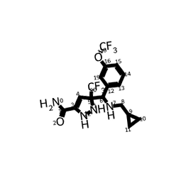 NC(=O)C1=CC(C(NCC2CC2)c2cccc(OC(F)(F)F)c2)(C(F)(F)F)NN1